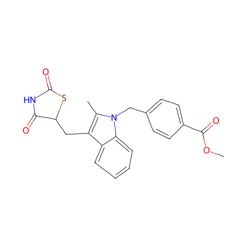 COC(=O)c1ccc(Cn2c(C)c(CC3SC(=O)NC3=O)c3ccccc32)cc1